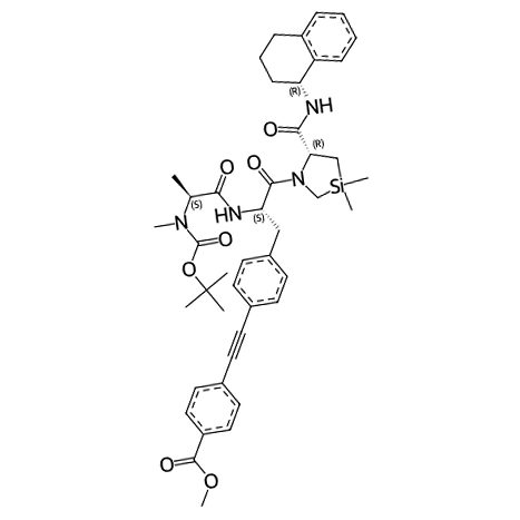 COC(=O)c1ccc(C#Cc2ccc(C[C@H](NC(=O)[C@H](C)N(C)C(=O)OC(C)(C)C)C(=O)N3C[Si](C)(C)C[C@H]3C(=O)N[C@@H]3CCCc4ccccc43)cc2)cc1